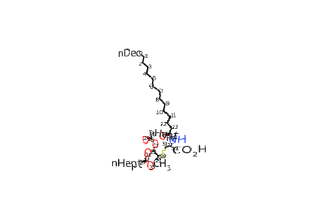 CCCCCCCCCCCCCCCCCCCCCCCC(=O)N[C@@H](CSC(C)C(OC(=O)CCCCCCC)OC(=O)CCCCCCC)C(=O)O